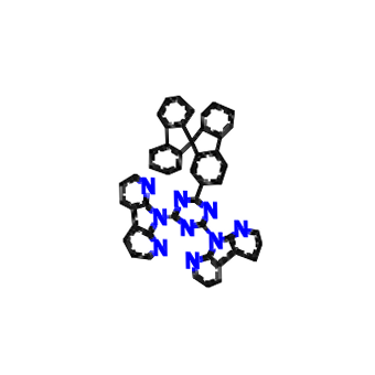 c1ccc2c(c1)-c1ccccc1C21c2ccccc2-c2ccc(-c3nc(-n4c5ncccc5c5cccnc54)nc(-n4c5ncccc5c5cccnc54)n3)cc21